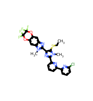 CCSc1c(-c2nc3cc4c(cc3n2C)OC(F)(F)C(F)(F)O4)nc(-c2cccc(-c3cccc(Cl)n3)n2)n1C